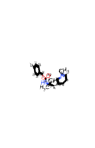 CN1CCC[C@H](CC(C)(C)NC(=O)OCc2ccccc2)C1